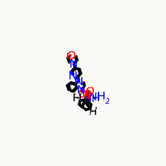 NC(=O)C12CC3C[C@H](C1)C(NC(=O)ON1CCN(c4ccc(N5CCOCC5)cn4)c4ccccc41)[C@@H](C3)C2